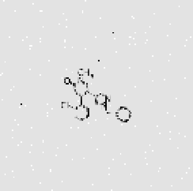 Cn1cc(-c2cnn(Cc3ccccc3)c2)c(-c2ccccc2Cl)cc1=O